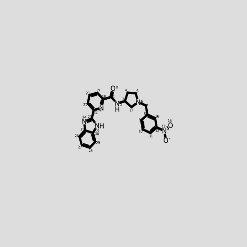 O=C(NC1CCN(Cc2cccc([N+](=O)[O-])c2)C1)c1cccc(-c2nc3ccccc3[nH]2)n1